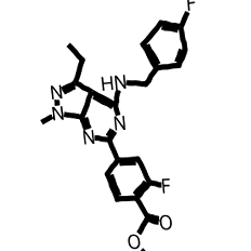 CCc1nn(C)c2nc(-c3ccc(C(=O)OC)c(F)c3)nc(NCc3ccc(F)cc3)c12